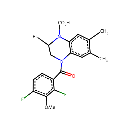 CCC1CN(C(=O)c2ccc(F)c(OC)c2F)c2cc(C)c(C)cc2N1C(=O)O